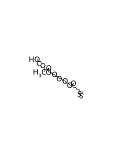 C[C@H](C(=O)OCCOCCOCCOCCOC(=O)CCCCC1CCSS1)c1ccc2cc(O)ccc2c1